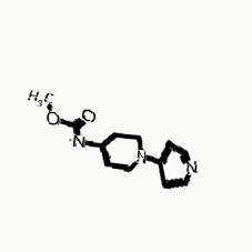 COC(=O)[N]C1CCN(c2ccncc2)CC1